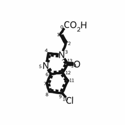 O=C(O)/C=C/n1cnc2ccc(Cl)cc2c1=O